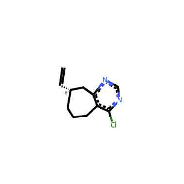 C=C[C@H]1CCCc2c(Cl)ncnc2C1